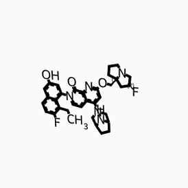 CCc1c(F)ccc2cc(O)cc(-n3ccc4c(N5CC6CCC(C5)N6)cc(OC[C@@]56CCCN5C[C@H](F)C6)nc4c3=O)c12